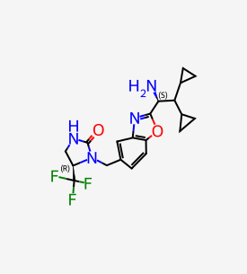 N[C@H](c1nc2cc(CN3C(=O)NC[C@@H]3C(F)(F)F)ccc2o1)C(C1CC1)C1CC1